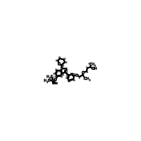 C[C@@H](O)CCO[C@@H](C)COc1cncc(-c2nn(C3CCCCO3)c3ccc(O[Si](C)(C)C(C)(C)C)cc23)n1